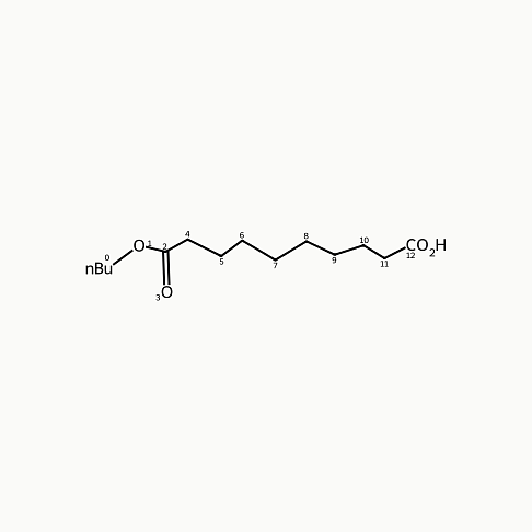 CCCCOC(=O)CCCCCCCCC(=O)O